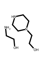 NCCO.OCCN1CCNCC1